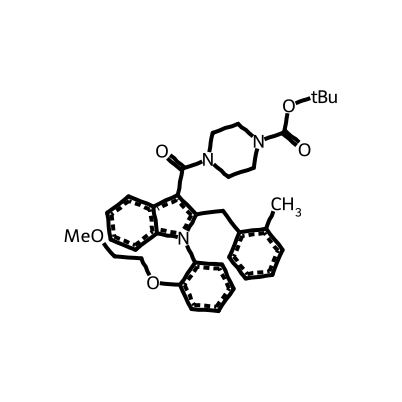 COCCOc1ccccc1-n1c(Cc2ccccc2C)c(C(=O)N2CCN(C(=O)OC(C)(C)C)CC2)c2ccccc21